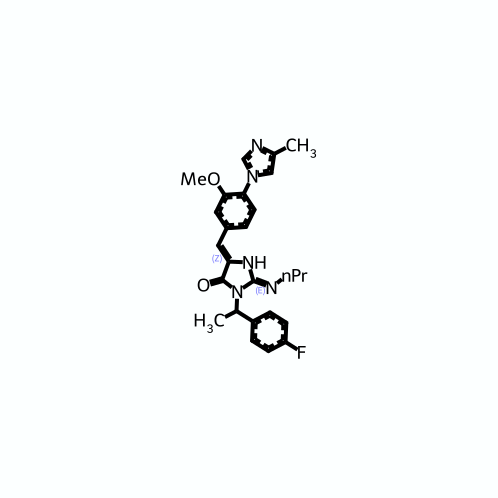 CCC/N=C1\N/C(=C\c2ccc(-n3cnc(C)c3)c(OC)c2)C(=O)N1C(C)c1ccc(F)cc1